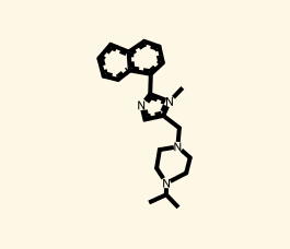 CC(C)N1CCN(Cc2cnc(-c3cccc4ccccc34)n2C)CC1